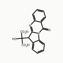 CCOC(=O)C(O)(C(=O)OCC)C1c2ccccc2-n2c1nc1ccccc1c2=O